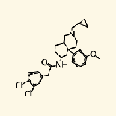 COc1cccc(C23CCN(CC4CC4)CC2CC[C@@H](NC(=O)Cc2ccc(Cl)c(Cl)c2)C3)c1